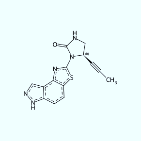 CC#C[C@@H]1CNC(=O)N1c1nc2c(ccc3[nH]ncc32)s1